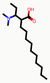 CCCCCCCCCCC(C(=O)O)C(CC)N(C)C